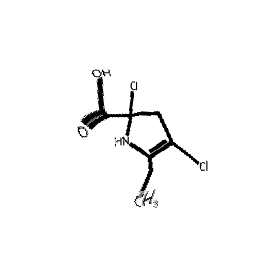 CC1=C(Cl)CC(Cl)(C(=O)O)N1